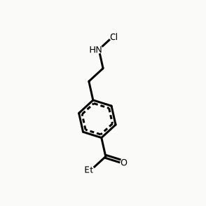 CCC(=O)c1ccc(CCNCl)cc1